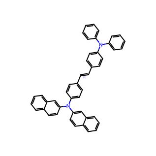 C(=C\c1ccc(N(c2ccc3ccccc3c2)c2ccc3ccccc3c2)cc1)/c1ccc(N(c2ccccc2)c2ccccc2)cc1